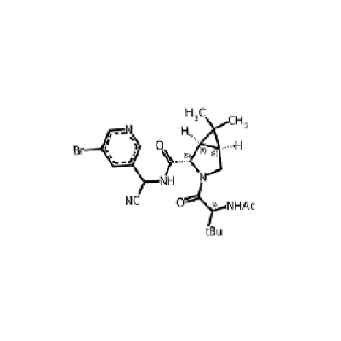 CC(=O)N[C@H](C(=O)N1C[C@H]2[C@@H]([C@H]1C(=O)NC(C#N)c1cncc(Br)c1)C2(C)C)C(C)(C)C